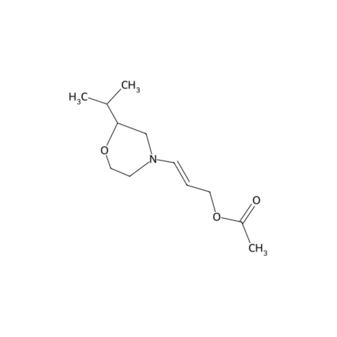 CC(=O)OC/C=C/N1CCOC(C(C)C)C1